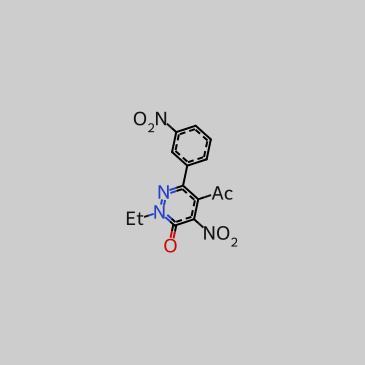 CCn1nc(-c2cccc([N+](=O)[O-])c2)c(C(C)=O)c([N+](=O)[O-])c1=O